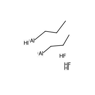 CC[CH2][Al].CC[CH2][Al].F.F.I.I